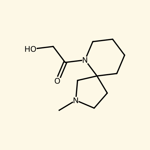 CN1CCC2(CCCCN2C(=O)CO)C1